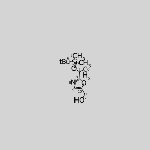 CC(O[Si](C)(C)C(C)(C)C)c1ncc(CO)o1